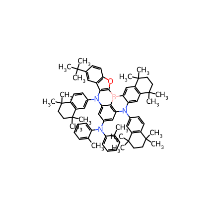 Cc1ccccc1N(c1cc2c3c(c1)N(c1ccc4c(c1)C(C)(C)CCC4(C)C)c1c(oc4ccc(C(C)(C)C)cc14)B3c1cc3c(cc1N2c1ccc2c(c1)C(C)(C)CCC2(C)C)C(C)(C)CCC3(C)C)c1ccccc1C